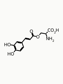 N[C@@H](COC(=O)C=Cc1ccc(O)c(O)c1)C(=O)O